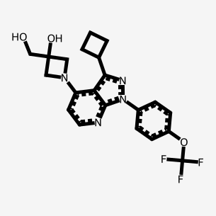 OCC1(O)CN(c2ccnc3c2c(C2CCC2)nn3-c2ccc(OC(F)(F)F)cc2)C1